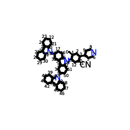 Cc1cc(-c2ccncc2)c(C#N)cc1-n1c2ccc(-n3c4ccccc4c4ccccc43)cc2c2cc(-n3c4ccccc4c4ccccc43)ccc21